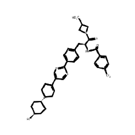 CC[C@H]1CC[C@H](C2CC=C(c3cnc(-c4ccc(C[C@H](NC(=O)c5ccc(C(F)(F)F)cc5)C(=O)N5CC(C(=O)O)C5)cc4)nc3)CC2)CC1